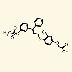 CS(=O)(=O)Oc1cccc(C(=CCSc2ccc(OCC(=O)O)cc2Cl)c2ccccc2)c1